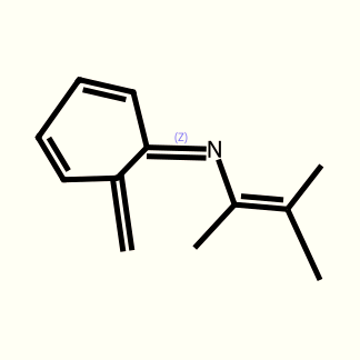 C=C1C=CC=C/C1=N/C(C)=C(C)C